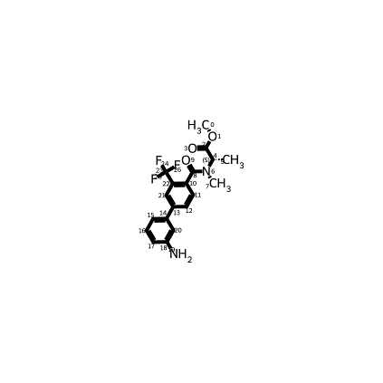 COC(=O)[C@H](C)N(C)C(=O)c1ccc(-c2cccc(N)c2)cc1C(F)(F)F